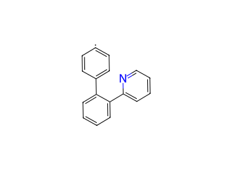 [c]1ccc(-c2ccccc2-c2ccccn2)cc1